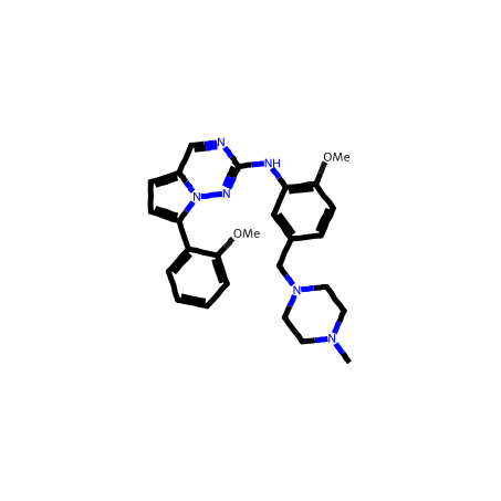 COc1ccc(CN2CCN(C)CC2)cc1Nc1ncc2ccc(-c3ccccc3OC)n2n1